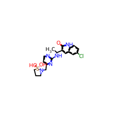 CC(Nc1nccc(CN2CCCS2(O)O)n1)c1cc2cc(Cl)ccc2[nH]c1=O